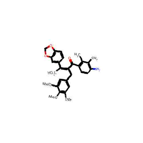 COc1cc(CC(C(=O)c2ccc(N)c(C)c2C)=C(C(=O)O)c2ccc3c(c2)OCO3)cc(OC)c1OC